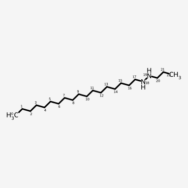 CCCCCCCCCCCCCCCCCCNNCCC